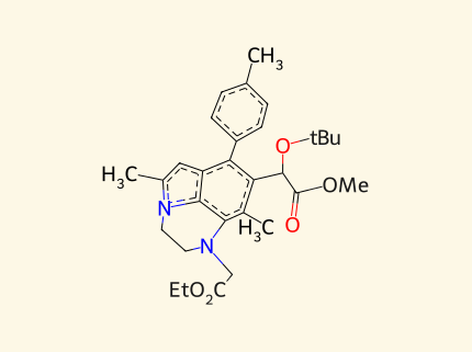 CCOC(=O)CN1CCn2c(C)cc3c(-c4ccc(C)cc4)c(C(OC(C)(C)C)C(=O)OC)c(C)c1c32